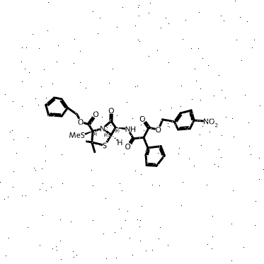 CS[C@@]1(C(=O)OCc2ccccc2)N2C(=O)[C@@H](NC(=O)C(C(=O)OCc3ccc([N+](=O)[O-])cc3)c3ccccc3)[C@H]2SC1(C)C